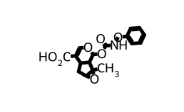 CC12OC1CC1C(C(=O)O)=COC(OC(=O)NOc3ccccc3)C12